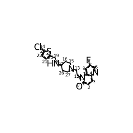 O=c1ccc2ncc(F)cc2n1CCN1CCC(NCc2ccc(Cl)s2)CC1